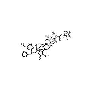 CC(C)C1=C2[C@H]3CC[C@@H]4[C@@]5(C)CC[C@H](OC(=O)CC(C)(C)C(=O)O)C(C)(C)[C@@H]5CC[C@@]4(C)[C@]3(C)CCC2(C(O)CN(Cc2ccccc2)C(=O)C[C@H](O)CO)CC1=O